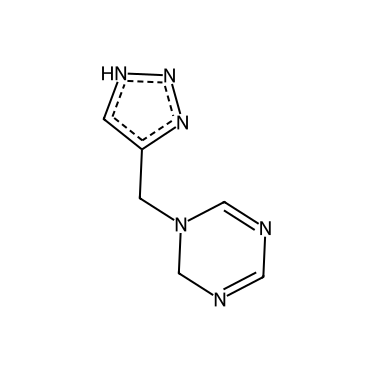 C1=NC=NCN1Cc1c[nH]nn1